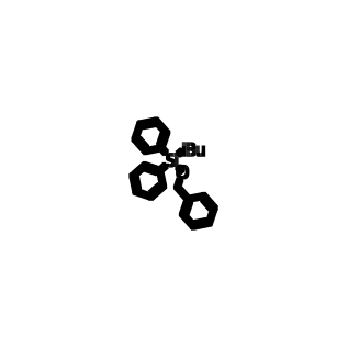 CCC(C)[Si](OCc1ccccc1)(c1ccccc1)c1ccccc1